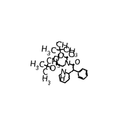 CC(C)(C)OC(=O)CN(C(=O)OC(C)(C)C)C(=O)C(c1ccccc1)C1CCCCN1